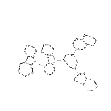 C1=Cc2cc(-c3cc(-c4ccc5ccccc5c4)cc(-n4c5ccccc5c5c(-n6c7ccccc7c7ccccc76)cccc54)c3)ccc2CC1